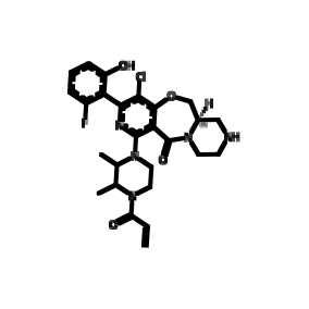 C=CC(=O)N1CCN(c2nc(-c3c(O)cccc3F)c(Cl)c3c2C(=O)N2CCNC[C@@H]2CO3)C(C)C1C